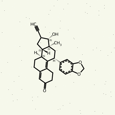 C#CC1C[C@H]2[C@@H]3CCC4=CC(=O)CCC4=C3[C@@H](c3ccc4c(c3)OCO4)C[C@]2(C)[C@H]1O